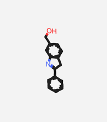 OCc1ccc2c(c1)N=C(c1ccccc1)C2